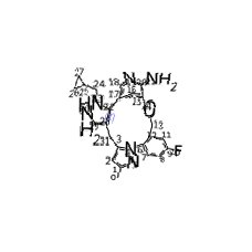 Cc1cc2n(n1)-c1ccc(F)cc1COc1cc(cnc1N)/C(NCC1CC1)=C(/CN)C2